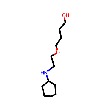 OCCCCOCCNC1CCCCC1